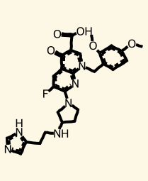 COc1ccc(Cn2cc(C(=O)O)c(=O)c3cc(F)c(N4CCC(NCCc5cnc[nH]5)C4)nc32)c(OC)c1